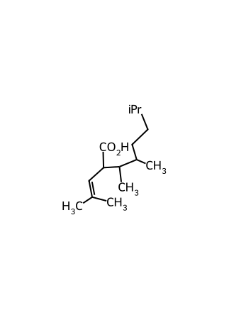 CC(C)=CC(C(=O)O)C(C)C(C)CCC(C)C